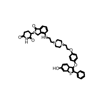 O=C1CCC(N2Cc3c(NCCN4CCN(CCOc5ccc(OC6=C(c7ccccc7)SC7C=C(O)C=CC67)cc5)CC4)cccc3C2=O)C(=O)N1